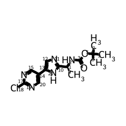 C[C@H](NC(=O)OC(C)(C)C)c1ncc(-c2cnc(Cl)nc2)[nH]1